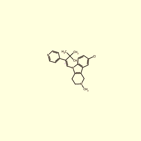 CN1CCc2c(c3cc(Cl)ccc3n2/C=C(/c2ccncc2)C(C)(C)C)C1